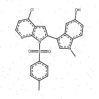 Cc1ccc(S(=O)(=O)n2c(-c3cn(C)c4ccc(O)cc34)cc3c(Cl)ccnc32)cc1